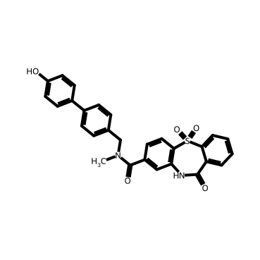 CN(Cc1ccc(-c2ccc(O)cc2)cc1)C(=O)c1ccc2c(c1)NC(=O)c1ccccc1S2(=O)=O